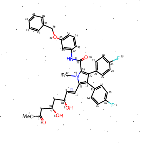 COC(=O)C[C@H](O)C[C@H](O)/C=C/c1c(-c2ccc(F)cc2)c(-c2ccc(F)cc2)c(C(=O)Nc2cccc(OCc3ccccc3)c2)n1C(C)C